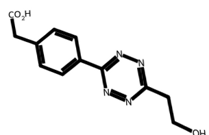 O=C(O)Cc1ccc(-c2nnc(CCO)nn2)cc1